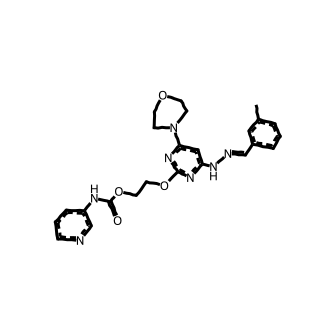 Cc1cccc(C=NNc2cc(N3CCOCC3)nc(OCCOC(=O)Nc3cccnc3)n2)c1